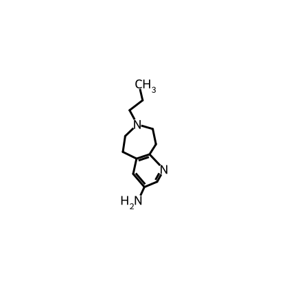 CCCN1CCc2cc(N)cnc2CC1